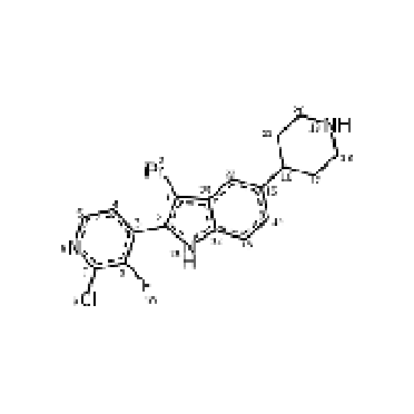 CC(C)c1c(-c2ccnc(Cl)c2F)[nH]c2ccc(C3CCNCC3)cc12